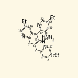 CCc1ccc(CC(Cc2ccc(CC)cn2)=C(Cc2ccc(CC)cn2)NN)nc1